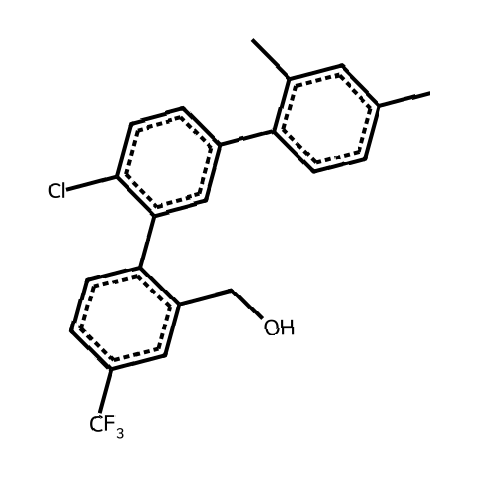 Cc1ccc(-c2ccc(Cl)c(-c3ccc(C(F)(F)F)cc3CO)c2)c(C)c1